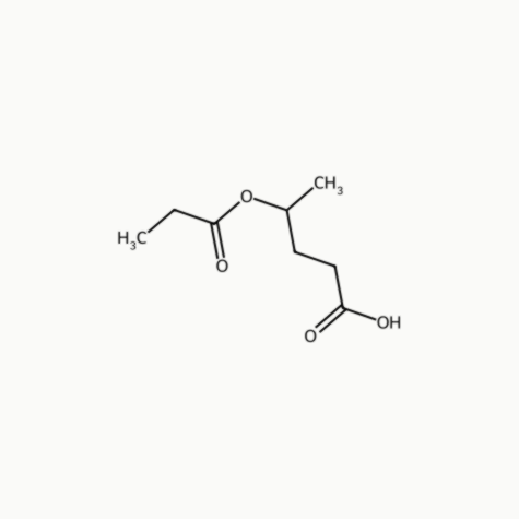 CCC(=O)OC(C)CCC(=O)O